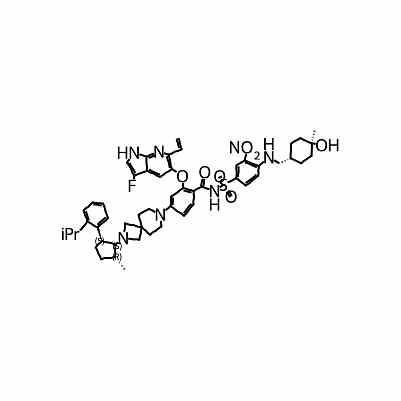 C=Cc1nc2[nH]cc(F)c2cc1Oc1cc(N2CCC3(CC2)CN([C@H]2[C@H](C)CC[C@H]2c2ccccc2C(C)C)C3)ccc1C(=O)NS(=O)(=O)c1ccc(NC[C@H]2CC[C@](C)(O)CC2)c([N+](=O)[O-])c1